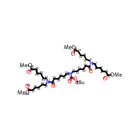 COC(=O)CCCCCN(CCCCCC(=O)OC)C(=O)CCCCCN(CCCCCC(=O)N(CCCCCC(=O)OC)CCCCCC(=O)OC)C(=O)OC(C)(C)C